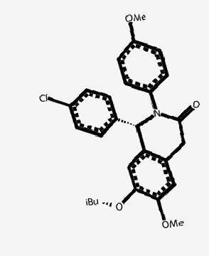 CC[C@@H](C)Oc1cc2c(cc1OC)CC(=O)N(c1ccc(OC)cc1)[C@H]2c1ccc(Cl)cc1